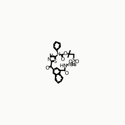 CCCCNC(=O)c1cc(C(=O)c2nnc(N(C(=O)OC(C)(C)C[SH](=O)=O)c3ccccc3)s2)cc2ccccc12